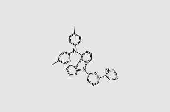 Cc1ccc(N(c2ccc(C)cc2)c2cccc3c2c2ccccc2n3-c2cccc(-c3ccccn3)c2)cc1